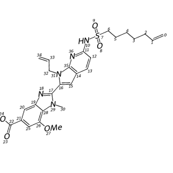 C=CCCCCCS(=O)(=O)Nc1ccc2cc(-c3nc4cc(C(=O)OC)cc(OC)c4n3C)n(CC=C)c2n1